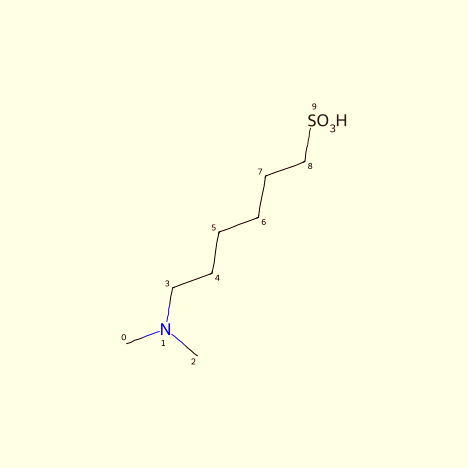 CN(C)CCCCCCS(=O)(=O)O